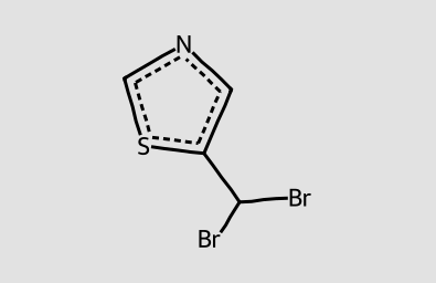 BrC(Br)c1cncs1